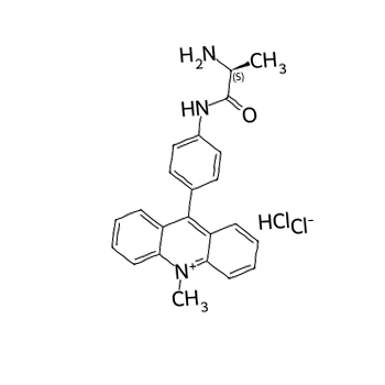 C[C@H](N)C(=O)Nc1ccc(-c2c3ccccc3[n+](C)c3ccccc23)cc1.Cl.[Cl-]